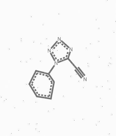 N#Cc1nnnn1-c1ccccc1